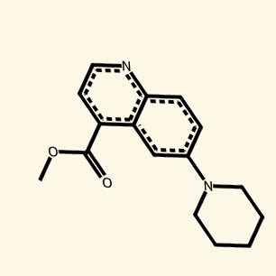 COC(=O)c1ccnc2ccc(N3CCCCC3)cc12